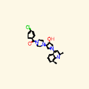 Cc1cc(N2CC(N3CCN(C(=O)c4ccc(Cl)cc4)CC3)[C@@H](O)C2)c2cccc(C)c2n1